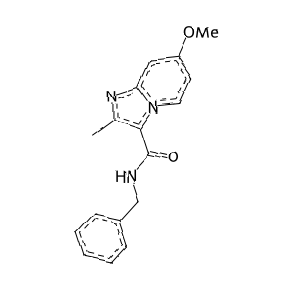 COc1ccn2c(C(=O)NCc3ccccc3)c(C)nc2c1